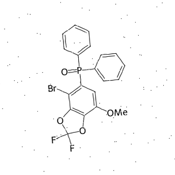 COc1cc(P(=O)(c2ccccc2)c2ccccc2)c(Br)c2c1OC(F)(F)O2